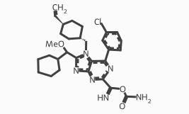 C=C[C@H]1CC[C@H](Cn2c(C(OC)C3CCCCC3)nc3nc(C(=N)OC(N)=O)nc(-c4cccc(Cl)c4)c32)CC1